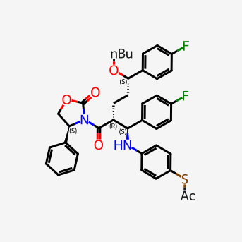 CCCCO[C@@H](CC[C@@H](C(=O)N1C(=O)OC[C@@H]1c1ccccc1)[C@H](Nc1ccc(SC(C)=O)cc1)c1ccc(F)cc1)c1ccc(F)cc1